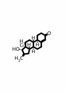 C=C1C[C@H]2[C@@H]3CCC4=CC(=O)CC[C@@H]4[C@H]3CC[C@]2(C)[C@H]1O